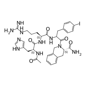 CC(=O)N[C@@H](Cc1cnc[nH]1)C(=O)N[C@@H](CCCNC(=N)N)C(=O)NC(Cc1ccc(I)cc1)C(=O)N1Cc2ccccc2C[C@H]1C(N)=O